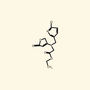 CCOC(=O)CN(Cc1ccc(Cl)nc1)C1=CC(=O)OC1